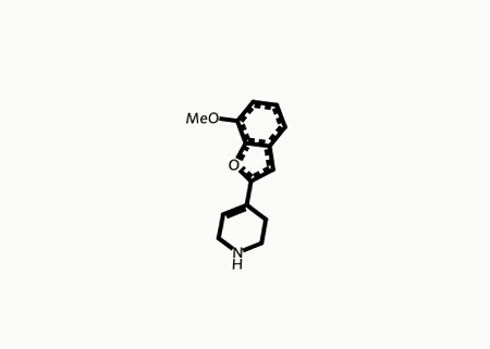 COc1cccc2cc(C3=CCNCC3)oc12